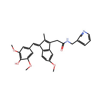 COc1ccc2c(c1)C(CC(=O)NCc1cccnc1)=C(C)/C2=C/c1cc(OC)c(O)c(OC)c1